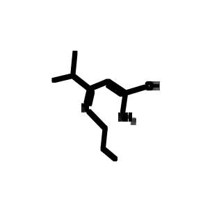 CCC/N=C(\C=C(/N)O)C(C)C